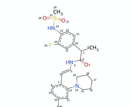 CC(C(=O)NC=Cc1ccc(C(F)(F)F)cc1N1CCCCC1)c1ccc(NS(C)(=O)=O)c(F)c1